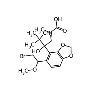 COC(CBr)c1ccc2c(c1C(O)(CN(C)C(=O)O)C(C)(C)C)OCO2